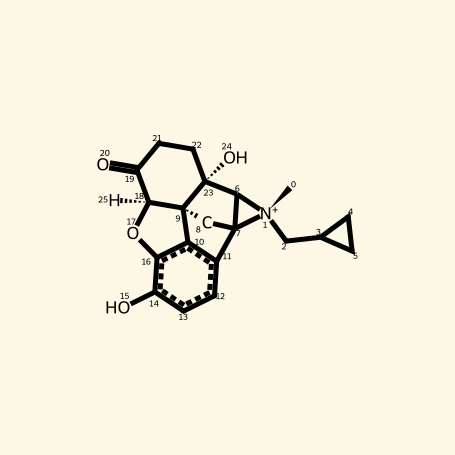 C[N@+]1(CC2CC2)C2C13C[C@]14c5c3ccc(O)c5O[C@H]1C(=O)CC[C@@]24O